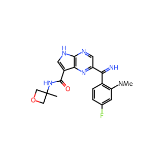 CNc1cc(F)ccc1C(=N)c1cnc2[nH]cc(C(=O)NC3(C)COC3)c2n1